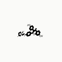 CC1=C(c2ccc(O)cc2)C(c2ccc(OCC[N+]3([O-])CC[C@@H](C)C3)cc2)Oc2cc(O)ccc21